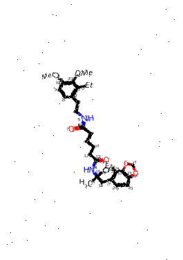 CCc1c(CCNC(=O)CCCCC(=O)NC(C)(C)Cc2ccc3c(c2CC)OCO3)ccc(OC)c1OC